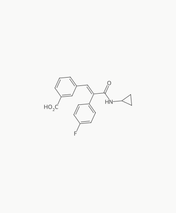 O=C(NC1CC1)C(=Cc1cccc(C(=O)O)c1)c1ccc(F)cc1